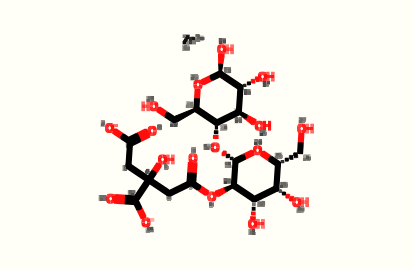 O=C([O-])CC(O)(CC(=O)O[C@H]1[C@H](O[C@H]2[C@H](O)[C@@H](O)[C@H](O)O[C@@H]2CO)O[C@H](CO)[C@H](O)[C@@H]1O)C(=O)[O-].[Zn+2]